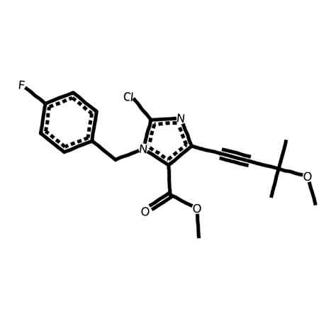 COC(=O)c1c(C#CC(C)(C)OC)nc(Cl)n1Cc1ccc(F)cc1